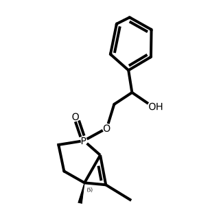 CC1=C2[C@@]1(C)CCP2(=O)OCC(O)c1ccccc1